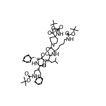 CC(C)C[C@@H](NC(=O)[C@@H](Cc1ccccc1)NC(=O)[C@H](CNC(=O)OC(C)(C)C)Cc1ccccc1)C(=O)N[C@H](CCCCNC(=O)OC(C)(C)C)C(=O)N1CCC(NC(=O)OC(C)(C)C)(C(=O)O)CC1